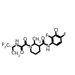 CC1C(C(=O)Nc2ccc(F)c(Cl)c2F)CCCN1C(=O)C(=O)N[C@H](C)C(F)(F)F